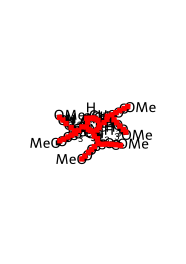 COCCOCCOCCSC1=C(SCCOCCOCCOC)SC(=C2Sc3c4[nH]c(c3S2)C(C)(C)c2[nH]c(c3c2SC(=C2SC(SCCOCCOCCOC)=C(SCCOCCOCCOC)S2)S3)C(C)(C)[C@@H](C)N[C@@H](C)C(C)(C)c2[nH]c(c3c2SC(=C2SC(SCCOCCOCCOC)=C(SCCOCCOCCOC)S2)S3)C4(C)C)S1